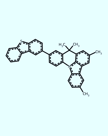 Cc1ccc2c(c1)c1cc(C)cc3c1n2-c1ccc(-c2ccc4sc5ccccc5c4c2)cc1C3(C)C